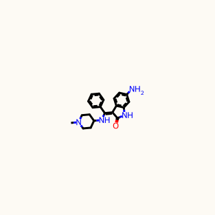 CN1CCC(N/C(=C2\C(=O)Nc3cc(N)ccc32)c2ccccc2)CC1